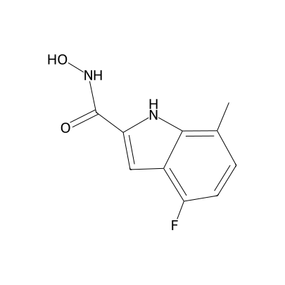 Cc1ccc(F)c2cc(C(=O)NO)[nH]c12